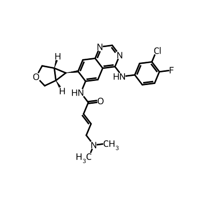 CN(C)C/C=C/C(=O)Nc1cc2c(Nc3ccc(F)c(Cl)c3)ncnc2cc1[C@H]1[C@@H]2COC[C@@H]21